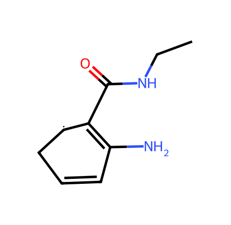 CCNC(=O)C1=C(N)C=CC[CH]1